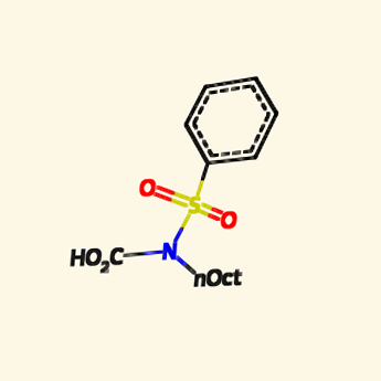 CCCCCCCCN(C(=O)O)S(=O)(=O)c1ccccc1